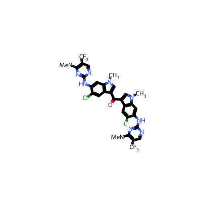 CNc1nc(Nc2cc3c(cc2Cl)c(C(=O)c2cn(C)c4cc(Nc5ncc(C(F)(F)F)c(NC)n5)c(Cl)cc24)cn3C)ncc1C(F)(F)F